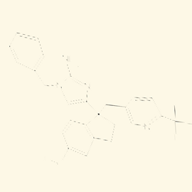 COc1ccc2c(c1)CCC2(Cc1ccc(C(F)(F)F)nc1)c1cn(Cc2ccccc2)c(N)n1